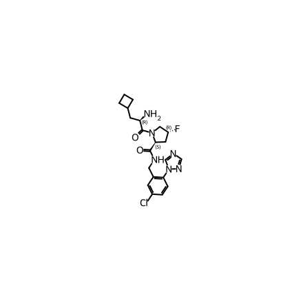 N[C@H](CC1CCC1)C(=O)N1C[C@H](F)C[C@H]1C(=O)NCc1cc(Cl)ccc1-n1cncn1